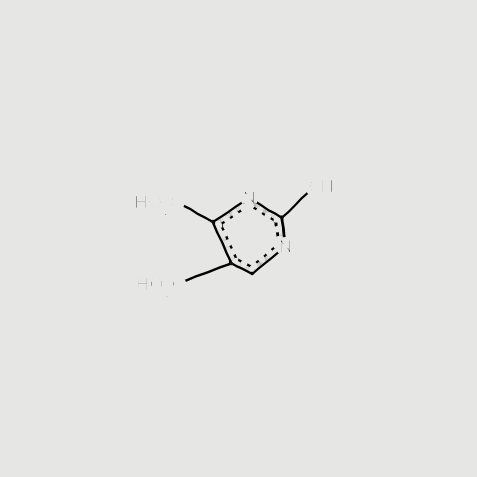 Cc1ncc(C(=O)O)c(C(=O)O)n1